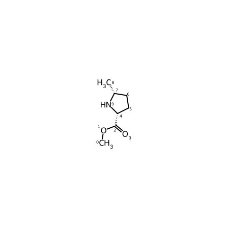 COC(=O)[C@H]1CC[C@@H](C)N1